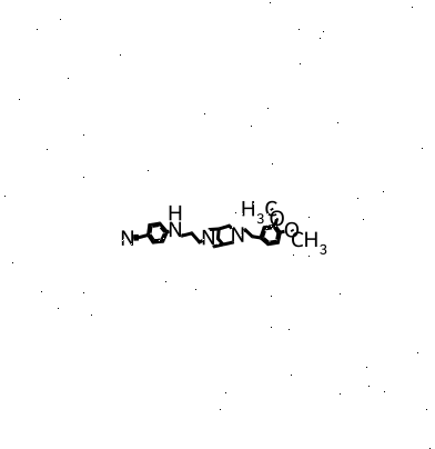 COc1ccc(CCN2CC3CC(CN(CCCNc4ccc(C#N)cc4)C3)C2)cc1OC